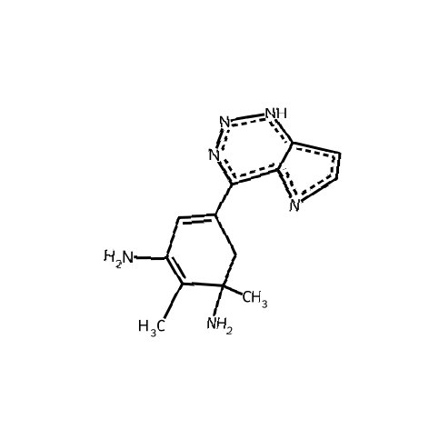 CC1=C(N)C=C(c2nn[nH]c3ccnc2-3)CC1(C)N